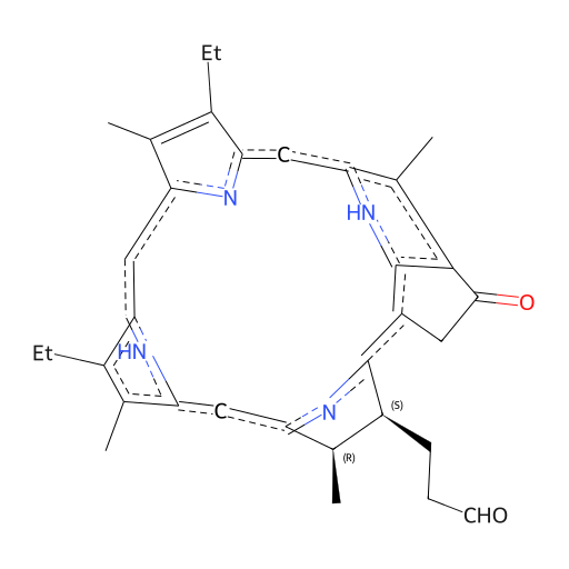 CCC1=C(C)c2cc3[nH]c(cc4nc(c5c6[nH]c(cc1n2)c(C)c6C(=O)C5)[C@@H](CCC=O)[C@H]4C)c(C)c3CC